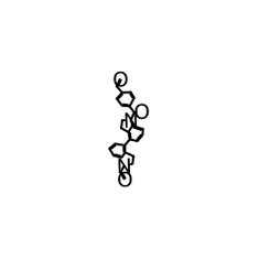 O=Cc1ccc(C(=O)N2CCc3c(-c4cccc5c4CCN5C=O)cccc32)cc1